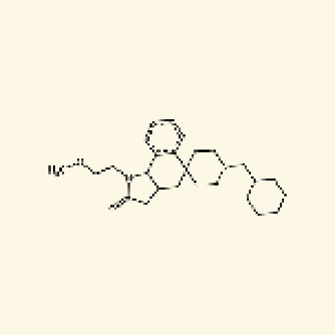 COCCN1C(=O)CC2CC3(CCN(CC4CCCCC4)CC3)c3ccccc3C21